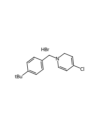 Br.CC(C)(C)c1ccc(CN2C=CC(Cl)=CC2)cc1